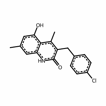 Cc1cc(O)c2c(C)c(Cc3ccc(Cl)cc3)c(=O)[nH]c2c1